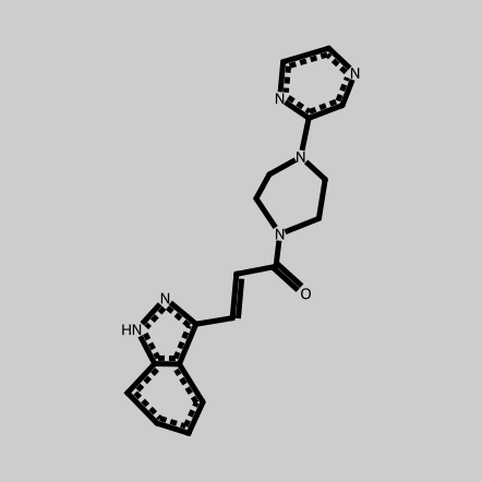 O=C(/C=C/c1n[nH]c2ccccc12)N1CCN(c2cnccn2)CC1